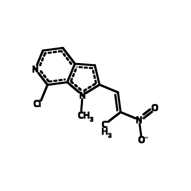 C/C(=C\c1cc2ccnc(Cl)c2n1C)[N+](=O)[O-]